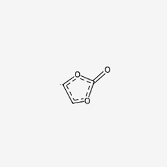 O=c1o[c]co1